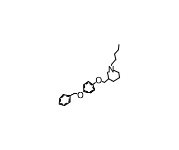 CCCCCN1CCCC(COc2ccc(OCc3ccccc3)cc2)C1